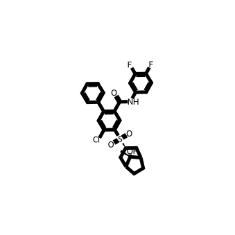 C[C@]1(O)C2CCC1C[C@@H](S(=O)(=O)c1cc(C(=O)Nc3ccc(F)c(F)c3)c(-c3ccccc3)cc1Cl)C2